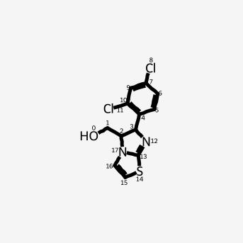 OCC1C(c2ccc(Cl)cc2Cl)N=C2SC=CN21